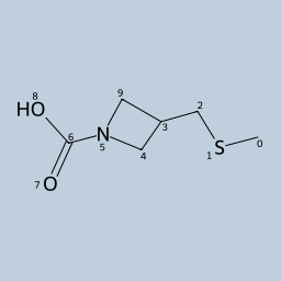 CSCC1CN(C(=O)O)C1